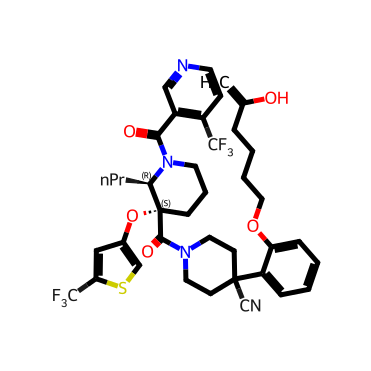 C=C(O)CCCCOc1ccccc1C1(C#N)CCN(C(=O)[C@]2(Oc3csc(C(F)(F)F)c3)CCCN(C(=O)c3cnccc3C(F)(F)F)[C@@H]2CCC)CC1